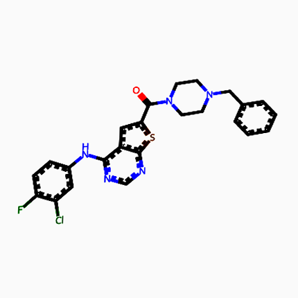 O=C(c1cc2c(Nc3ccc(F)c(Cl)c3)ncnc2s1)N1CCN(Cc2ccccc2)CC1